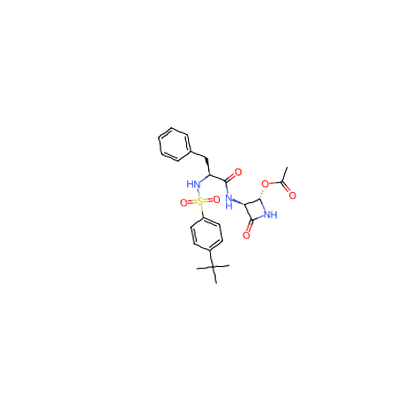 CC(=O)O[C@@H]1NC(=O)[C@H]1NC(=O)[C@H](Cc1ccccc1)NS(=O)(=O)c1ccc(C(C)(C)C)cc1